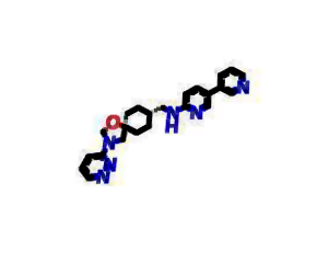 c1cncc(-c2ccc(NC[C@H]3CC[C@]4(CC3)CN(c3cccnn3)CO4)nc2)c1